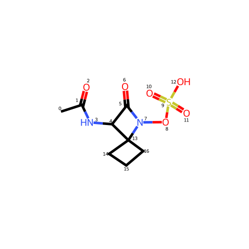 CC(=O)NC1C(=O)N(OS(=O)(=O)O)C12CCC2